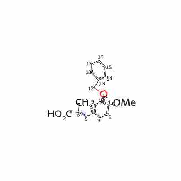 COc1ccc(/C=C(\C)C(=O)O)cc1OCc1ccccc1